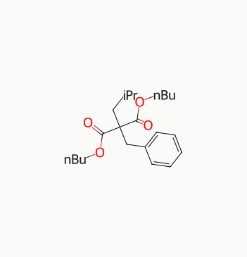 CCCCOC(=O)C(Cc1ccccc1)(CC(C)C)C(=O)OCCCC